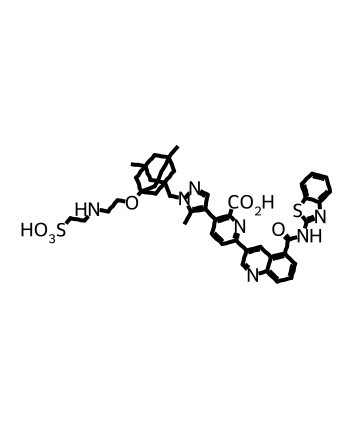 Cc1c(-c2ccc(-c3cnc4cccc(C(=O)Nc5nc6ccccc6s5)c4c3)nc2C(=O)O)cnn1CC12CC3(C)CC(C)(C1)CC(OCCNCCS(=O)(=O)O)(C3)C2